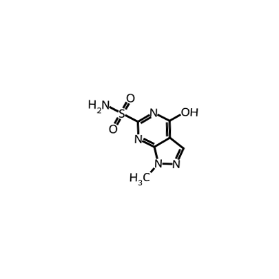 Cn1ncc2c(O)nc(S(N)(=O)=O)nc21